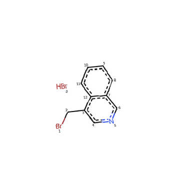 Br.BrCc1cncc2ccccc12